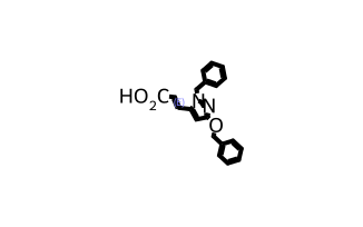 O=C(O)/C=C/c1cc(OCc2ccccc2)nn1Cc1ccccc1